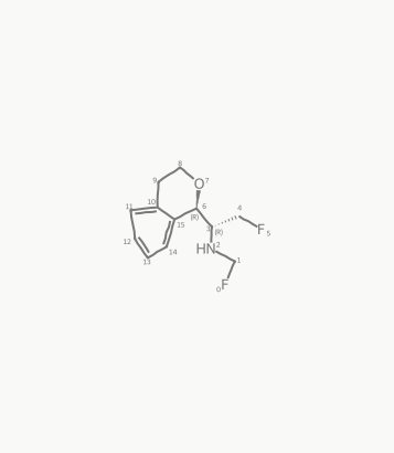 FCN[C@@H](CF)[C@@H]1OCCc2ccccc21